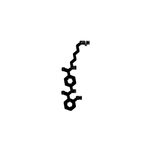 O=C(O)CCCCCNC(=O)c1ccc(NC(=O)c2ccccc2O)cc1